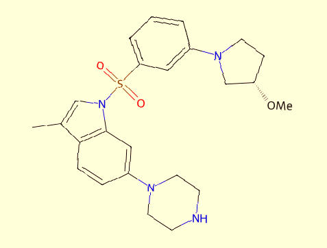 CO[C@H]1CCN(c2cccc(S(=O)(=O)n3cc(C)c4ccc(N5CCNCC5)cc43)c2)C1